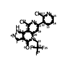 O=c1c2cn[nH]c2c2c(Cl)nc(-c3cccnc3Cl)cc2n1CC(F)(F)F